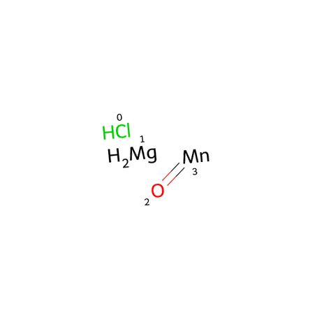 Cl.[MgH2].[O]=[Mn]